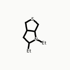 CCC1CC2CSCC2N1CC